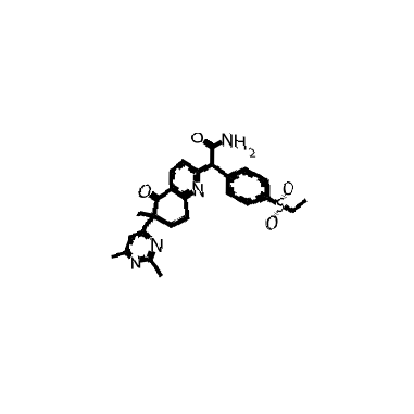 CCS(=O)(=O)c1ccc(C(C(N)=O)c2ccc3c(n2)CCC(C)(c2cc(C)nc(C)n2)C3=O)cc1